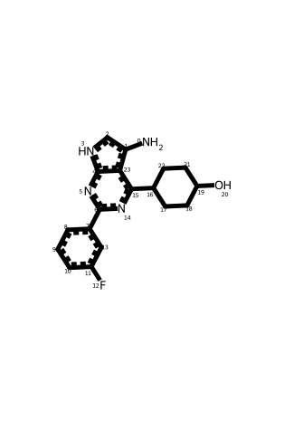 Nc1c[nH]c2nc(-c3cccc(F)c3)nc(C3CCC(O)CC3)c12